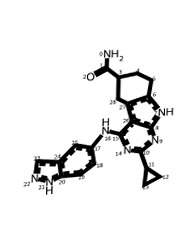 NC(=O)C1CCc2[nH]c3nc(C4CC4)nc(Nc4ccc5[nH]ncc5c4)c3c2C1